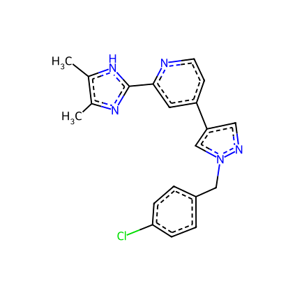 Cc1nc(-c2cc(-c3cnn(Cc4ccc(Cl)cc4)c3)ccn2)[nH]c1C